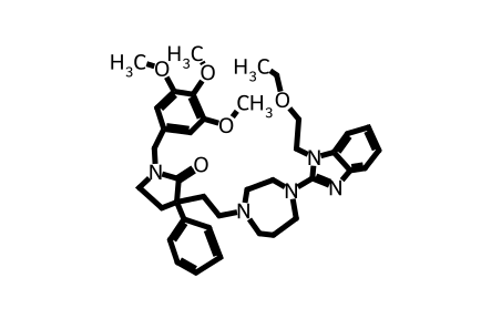 CCOCCn1c(N2CCCN(CCC3(c4ccccc4)CCN(Cc4cc(OC)c(OC)c(OC)c4)C3=O)CC2)nc2ccccc21